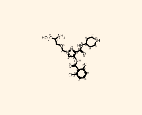 NC(COCn1cc(NC(=O)c2c(Cl)cccc2Cl)c(C(=O)NC2CCNCC2)n1)C(=O)O